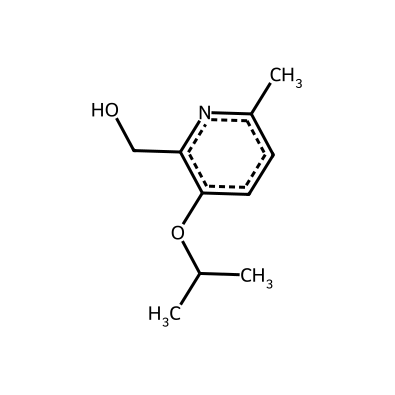 Cc1ccc(OC(C)C)c(CO)n1